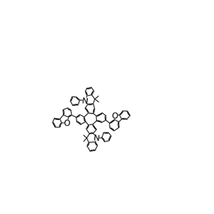 CC1(C)c2ccccc2N(c2ccccc2)c2cc3c(cc21)-c1ccc(-c2cccc4c2oc2ccccc24)cc1-c1cc2c(cc1-c1ccc(-c4cccc5c4oc4ccccc45)cc1-3)C(C)(C)c1ccccc1N2c1ccccc1